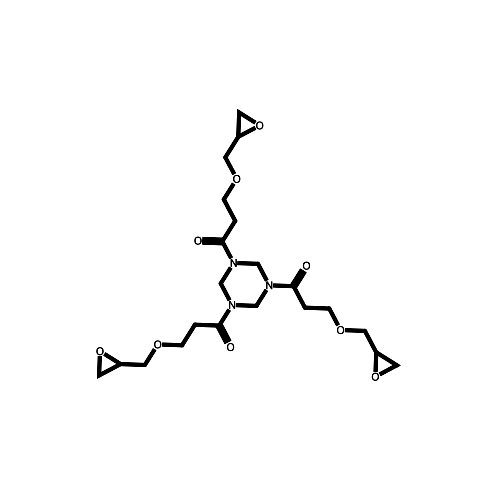 O=C(CCOCC1CO1)N1CN(C(=O)CCOCC2CO2)CN(C(=O)CCOCC2CO2)C1